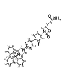 NC(=O)CCC1CN(c2ccc(-c3cnc(N4CCN(C(c5ccccc5)(c5ccccc5)c5ccccc5)CC4)nc3)c(F)c2)C(=O)O1